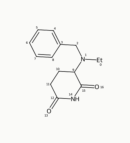 CCN(Cc1ccccc1)C1CCC(=O)NC1=O